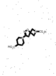 O=C(O)C1CCN(C2=NOC3(C2)CN(C(=O)O)C3)CC1